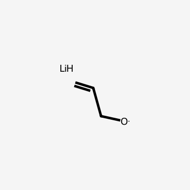 C=CC[O].[LiH]